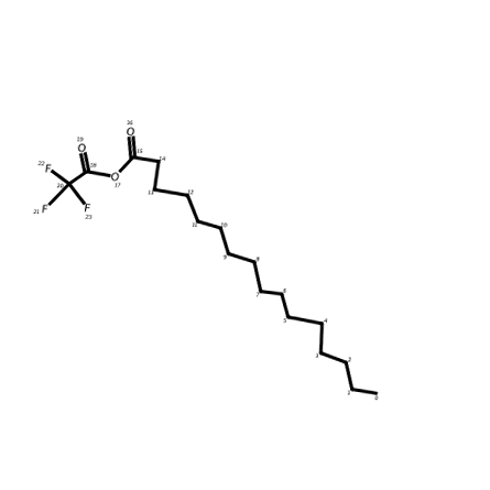 CCCCCCCCCCCCCCCC(=O)OC(=O)C(F)(F)F